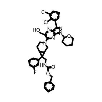 O=C(NCC1(c2cccc(F)c2)C2CCN(c3nc4c(nc3CO)c(-c3cccc(Cl)c3Cl)nn4C3CCCCO3)CC21)OCc1ccccc1